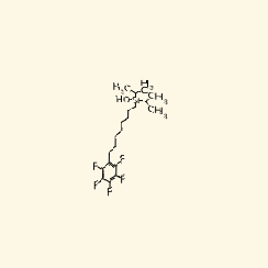 CC(C)[Si](O)(CCCCCCCCc1c(F)c(F)c(F)c(F)c1F)C(C)C